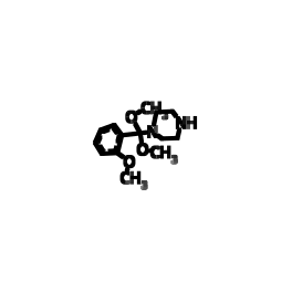 COc1ccccc1C(OC)(OC)N1CCNCC1